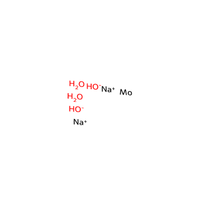 O.O.[Mo].[Na+].[Na+].[OH-].[OH-]